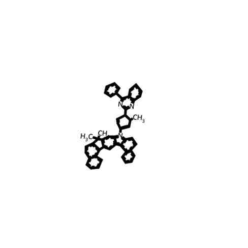 CC1C=C(n2c3cc4c(cc3c3c5ccccc5ccc32)-c2c(ccc3ccccc23)C4(C)C)C=CC1c1nc(-c2ccccc2)c2ccccc2n1